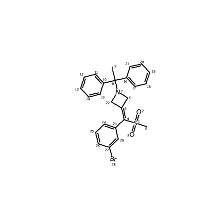 CS(=O)(=O)C(=C1CN(C(I)(c2ccccc2)c2ccccc2)C1)c1cccc(Br)c1